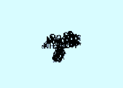 CNCCN(C)C(=O)OCC(=O)[C@]1(O)Cc2c(O)c3c(c(O)c2[C@@H](O[C@H]2C[C@H]4C(O[C@@H]5[C@@H](OC)OCCN54)[C@H](C)O2)C1)C(=O)c1c(OC)cccc1C3=O